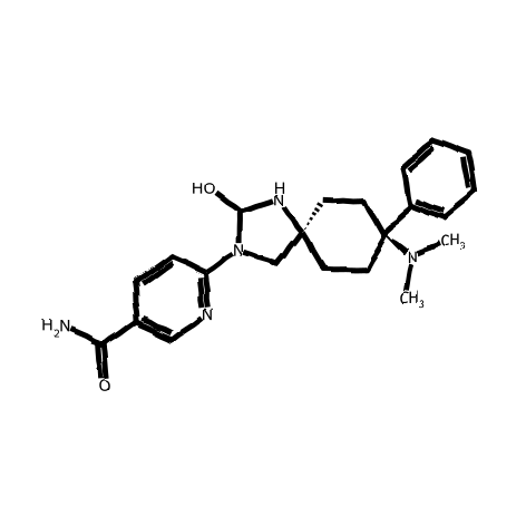 CN(C)[C@]1(c2ccccc2)CC[C@]2(CC1)CN(c1ccc(C(N)=O)cn1)C(O)N2